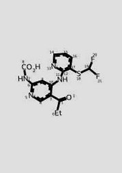 CCC(=O)c1cnc(NC(=O)O)cc1Nc1ncccc1SC(F)F